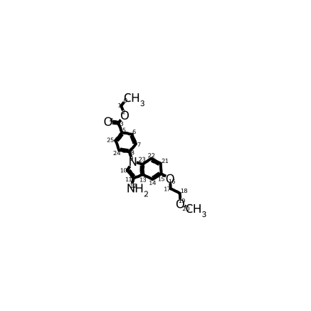 CCOC(=O)c1ccc(-n2cc(N)c3cc(OCCOC)ccc32)cc1